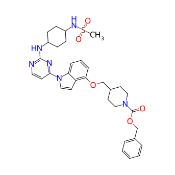 CS(=O)(=O)NC1CCC(Nc2nccc(-n3ccc4c(OCC5CCN(C(=O)OCc6ccccc6)CC5)cccc43)n2)CC1